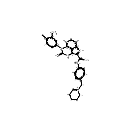 Bc1cc(N2C(=O)Nc3c(C(=O)Nc4ccc(CN5CCCCC5)cc4)sc4ncnc2c34)ccc1C